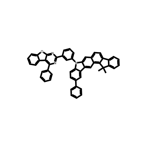 CC1(C)c2ccccc2-c2ccc3cc4c(cc3c21)c1cc(-c2ccccc2)ccc1n4-c1cccc(-c2nc(-c3ccccc3)c3c(n2)oc2ccccc23)c1